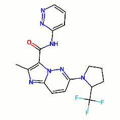 Cc1nc2ccc(N3CCCC3C(F)(F)F)nn2c1C(=O)Nc1cccnn1